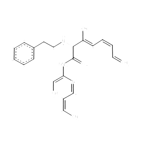 C=C/C=C\C=C(/C)[C@@H](NCCc1ccccc1)C(=O)NC(=C/C)/N=C\C=C/C